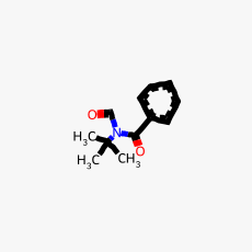 CC(C)(C)N(C=O)C(=O)c1ccccc1